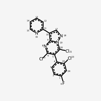 Fc1ccc(-c2c(Cl)nc3c(-c4ccccn4)cnn3c2Cl)c(Cl)c1